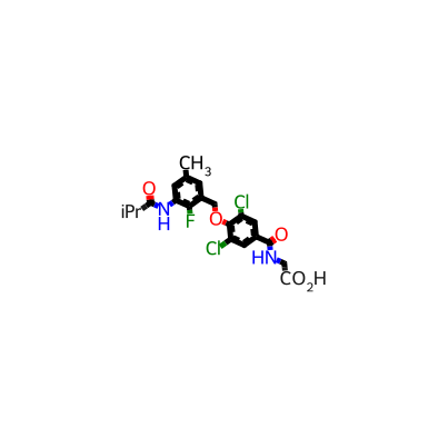 Cc1cc(COc2c(Cl)cc(C(=O)NCC(=O)O)cc2Cl)c(F)c(NC(=O)C(C)C)c1